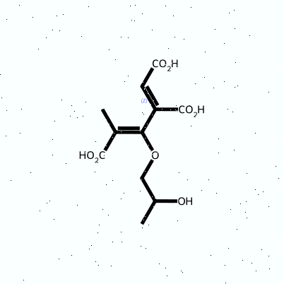 CC(C(=O)O)=C(OCC(C)O)/C(=C/C(=O)O)C(=O)O